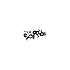 O=C1CCC(N2C(=O)c3cccc(NC4CCN(C(=O)N5CC[C@@H](C(=O)O)C5)CC4)c3C2=O)C(=O)N1